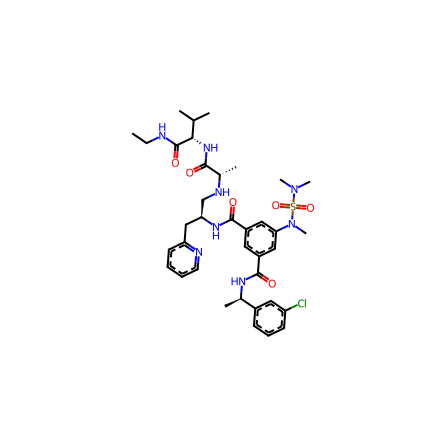 CCNC(=O)[C@@H](NC(=O)[C@H](C)NC[C@H](Cc1ccccn1)NC(=O)c1cc(C(=O)N[C@H](C)c2cccc(Cl)c2)cc(N(C)S(=O)(=O)N(C)C)c1)C(C)C